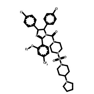 CCOc1cc(C(F)(F)F)ccc1C1=NC(c2ccc(Cl)cc2)C(c2ccc(Cl)cc2)N1C(=O)N1CCN(S(=O)(=O)N2CCC(N3CCCC3)CC2)CC1